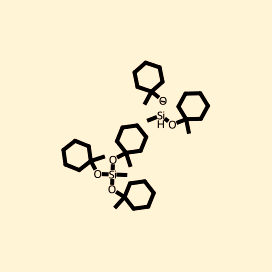 CC1(O[Si](C)(OC2(C)CCCCC2)OC2(C)CCCCC2)CCCCC1.C[SiH](OC1(C)CCCCC1)OC1(C)CCCCC1